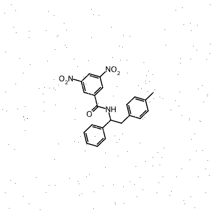 Cc1ccc(CC(NC(=O)c2cc([N+](=O)[O-])cc([N+](=O)[O-])c2)c2ccccc2)cc1